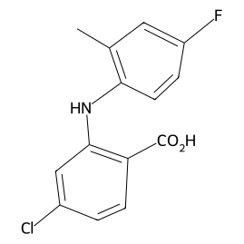 Cc1cc(F)ccc1Nc1cc(Cl)ccc1C(=O)O